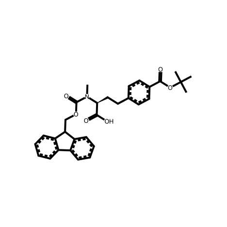 CN(C(=O)OCC1c2ccccc2-c2ccccc21)[C@@H](CCc1ccc(C(=O)OC(C)(C)C)cc1)C(=O)O